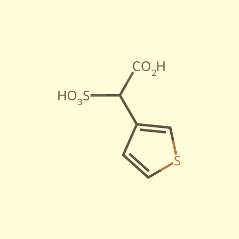 O=C(O)C(c1ccsc1)S(=O)(=O)O